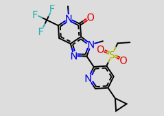 CCS(=O)(=O)c1cc(C2CC2)cnc1-c1nc2cc(C(F)(F)F)n(C)c(=O)c2n1C